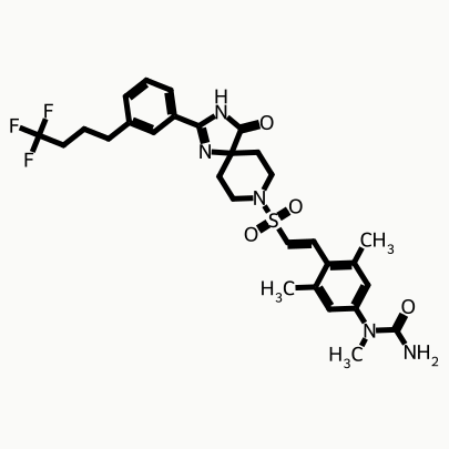 Cc1cc(N(C)C(N)=O)cc(C)c1C=CS(=O)(=O)N1CCC2(CC1)N=C(c1cccc(CCCC(F)(F)F)c1)NC2=O